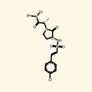 CCN(C(=O)[C@H](C)N1CC[C@H](NS(=O)(=O)/C=C/c2ccc(Cl)cc2)C1=O)C(C)C